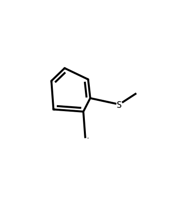 [CH2]c1ccccc1SC